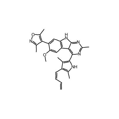 C=C/C=C\c1c(C)[nH]c(-c2nc(C)nc3[nH]c4cc(-c5c(C)noc5C)c(OC)cc4c23)c1C